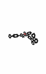 CC1(C)c2cc(-c3ccc(-c4ccccc4)cc3)ccc2-c2ccc(N(c3ccc4c(c3)C(c3ccccc3)(c3ccccc3)c3ccccc3-4)c3ccccc3-c3ccccc3)cc21